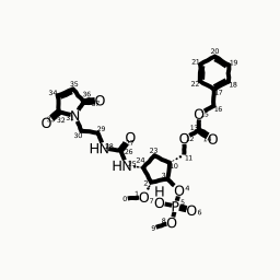 CO[C@H]1C(OP(=O)(O)OC)[C@@H](COC(=O)OCc2ccccc2)C[C@H]1NC(=O)NCCN1C(=O)C=CC1=O